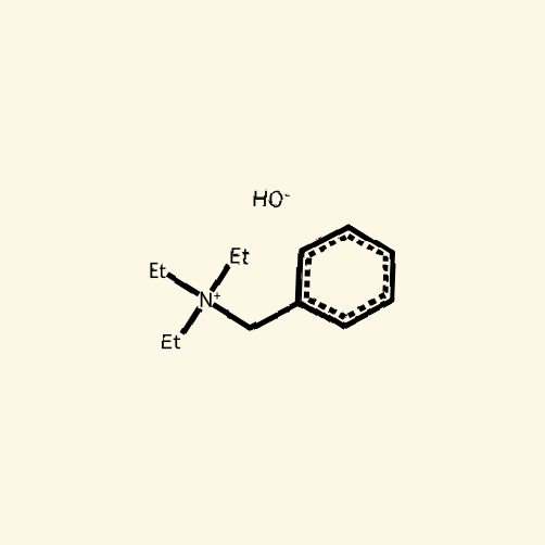 CC[N+](CC)(CC)Cc1ccccc1.[OH-]